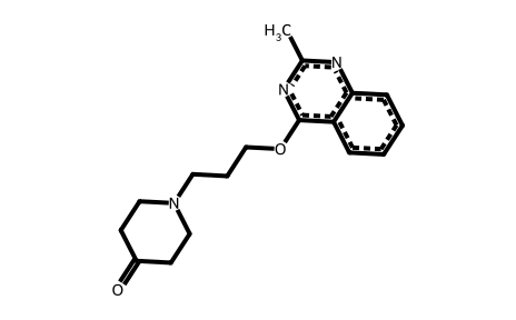 Cc1nc(OCCCN2CCC(=O)CC2)c2ccccc2n1